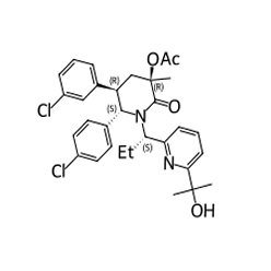 CC[C@@H](c1cccc(C(C)(C)O)n1)N1C(=O)[C@](C)(OC(C)=O)C[C@H](c2cccc(Cl)c2)[C@H]1c1ccc(Cl)cc1